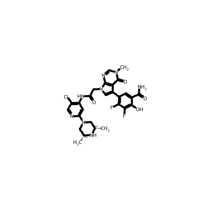 C[C@@H]1CN(c2cc(NC(=O)Cn3cc(-c4cc(C(N)=O)c(O)c(F)c4F)c4c(=O)n(C)cnc43)c(Cl)cn2)C[C@H](C)N1